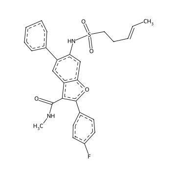 C/C=C/CCS(=O)(=O)Nc1cc2oc(-c3ccc(F)cc3)c(C(=O)NC)c2cc1-c1ccccc1